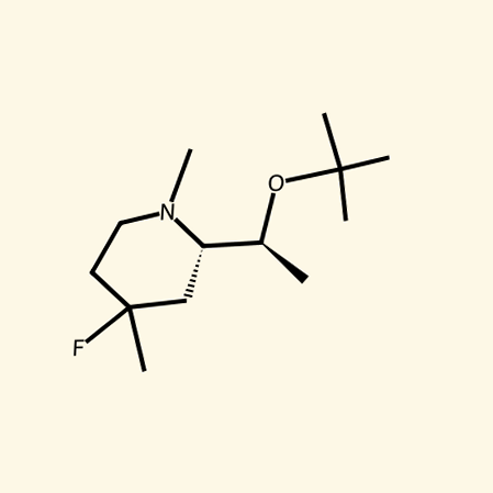 C[C@H](OC(C)(C)C)[C@@H]1CC(C)(F)CCN1C